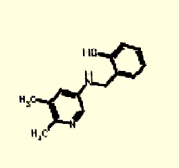 Cc1cc(NCc2ccccc2O)cnc1C